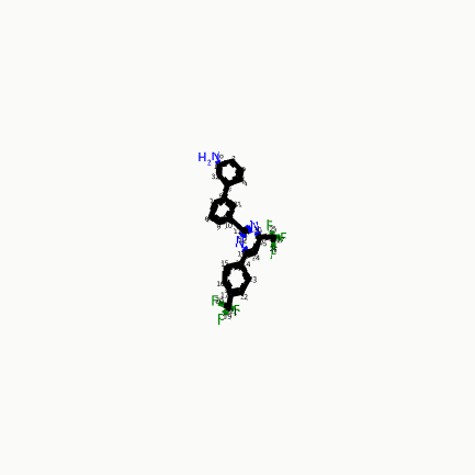 Nc1cccc(-c2cccc(-c3nc(-c4ccc(C(F)(F)F)cc4)cc(C(F)(F)F)n3)c2)c1